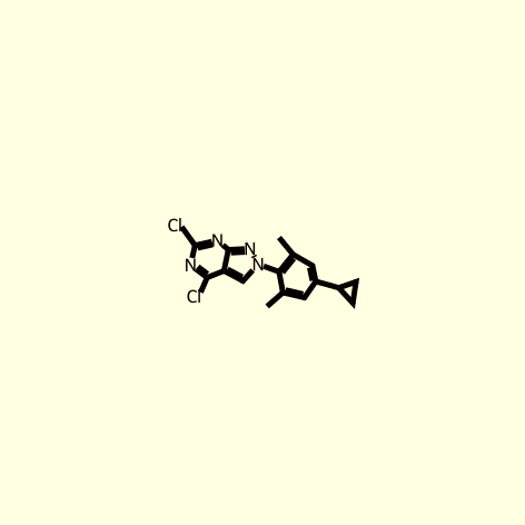 Cc1cc(C2CC2)cc(C)c1-n1cc2c(Cl)nc(Cl)nc2n1